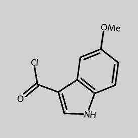 COc1ccc2[nH]cc(C(=O)Cl)c2c1